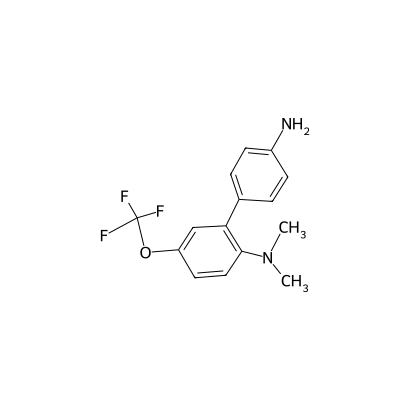 CN(C)c1ccc(OC(F)(F)F)cc1-c1ccc(N)cc1